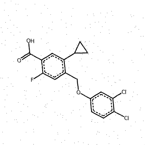 O=C(O)c1cc(C2CC2)c(COc2ccc(Cl)c(Cl)c2)cc1F